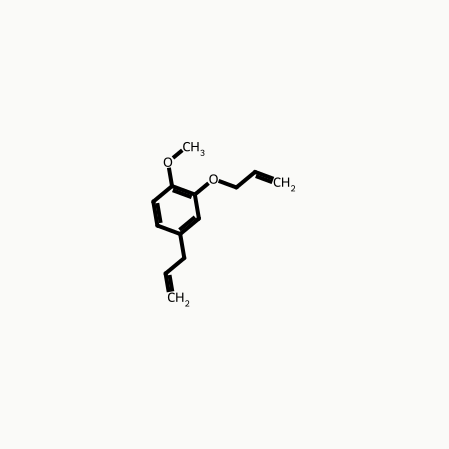 C=CCOc1cc(CC=C)ccc1OC